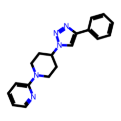 c1ccc(-c2cn(C3CCN(c4ccccn4)CC3)nn2)cc1